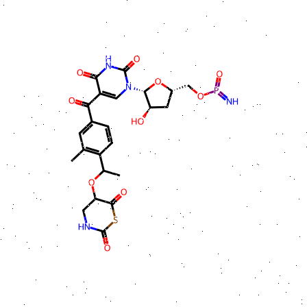 Cc1cc(C(=O)c2cn([C@@H]3O[C@H](COP(=N)=O)C[C@H]3O)c(=O)[nH]c2=O)ccc1C(C)OC1CNC(=O)SC1=O